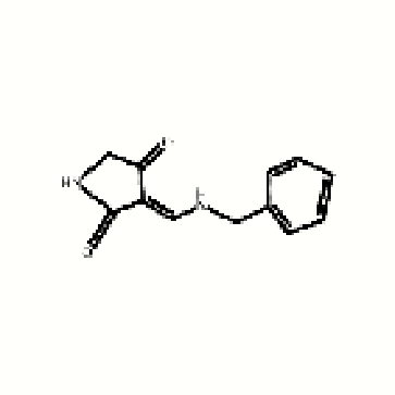 O=C1CNC(=O)C1=CNCc1ccccc1